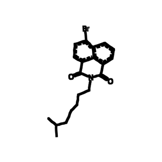 CC(C)CCCCCN1C(=O)c2cccc3c(Br)ccc(c23)C1=O